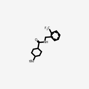 CC(C)(C)[C]1CCC(C(=O)NCc2ccccc2C(F)(F)F)CC1